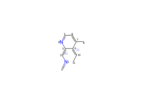 C=N/C=c1/nccc(C)/c1=C/C